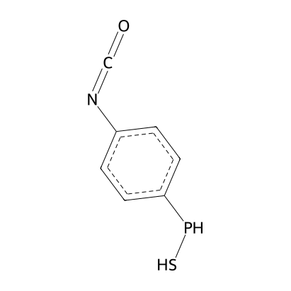 O=C=Nc1ccc(PS)cc1